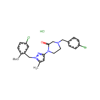 Cc1cc(N2CCN(Cc3ccc(Br)cc3)CC2=O)nn1Cc1cc(Cl)ccc1OCC(C)C.Cl